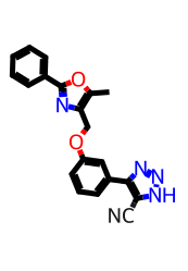 Cc1oc(-c2ccccc2)nc1COc1cccc(-c2nn[nH]c2C#N)c1